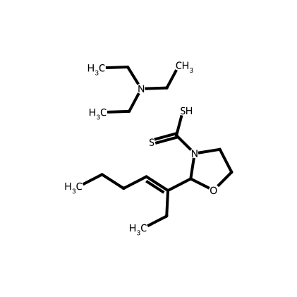 CCC/C=C(\CC)C1OCCN1C(=S)S.CCN(CC)CC